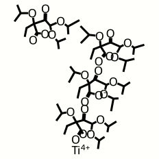 CCC(OC(C)C)(C(=O)[O-])C(=O)C(OC(C)C)OC(C)C.CCC(OC(C)C)(C(=O)[O-])C(=O)C(OC(C)C)OC(C)C.CCC(OC(C)C)(C(=O)[O-])C(=O)C(OC(C)C)OC(C)C.CCC(OC(C)C)(C(=O)[O-])C(=O)C(OC(C)C)OC(C)C.[Ti+4]